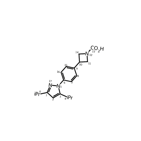 CC(C)c1cc(C(C)C)n(-c2ccc(C3CN(C(=O)O)C3)cc2)n1